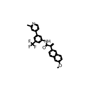 C=C(C(=O)Nc1cc(-c2ccnc(C)c2)cc(C(F)(F)F)c1)c1ccc2cc(OC)ccc2c1